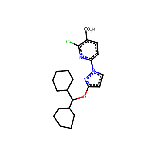 O=C(O)c1ccc(-n2ccc(OC(C3CCCCC3)C3CCCCC3)n2)nc1Cl